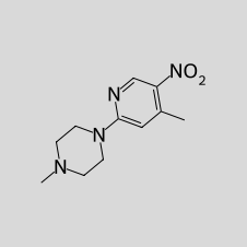 Cc1cc(N2CCN(C)CC2)ncc1[N+](=O)[O-]